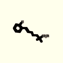 CCOC(=O)C(C)(C)CCCC=Cc1ccccc1Cl